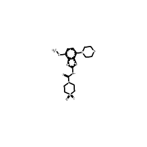 COc1ccc(N2CCOCC2)c2sc(NC(=O)N3CCS(=O)(=O)CC3)nc12